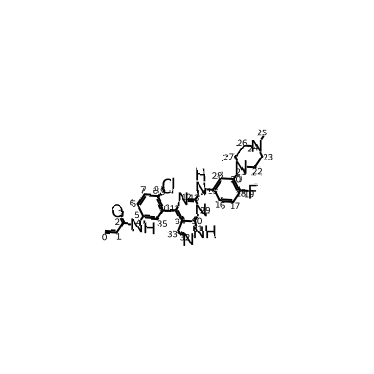 C=CC(=O)Nc1ccc(Cl)c(-c2nc(Nc3ccc(F)c(N4CCN(C)CC4)c3)nc3[nH]ncc23)c1